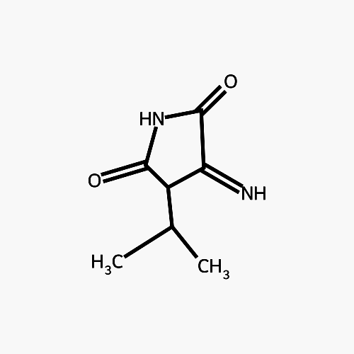 CC(C)C1C(=N)C(=O)NC1=O